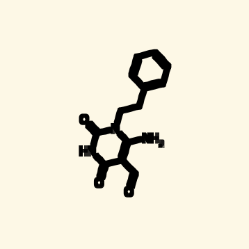 Nc1c(C=O)c(=O)[nH]c(=O)n1CCc1ccccc1